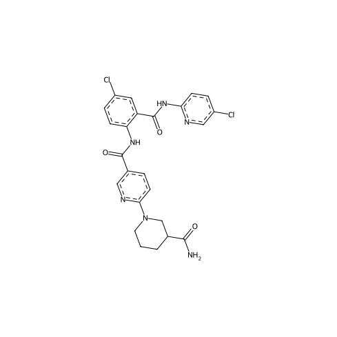 NC(=O)C1CCCN(c2ccc(C(=O)Nc3ccc(Cl)cc3C(=O)Nc3ccc(Cl)cn3)cn2)C1